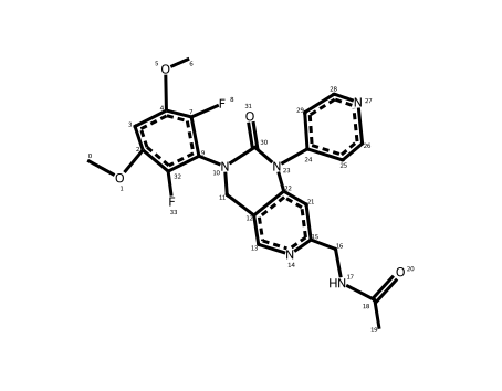 COc1cc(OC)c(F)c(N2Cc3cnc(CNC(C)=O)cc3N(c3ccncc3)C2=O)c1F